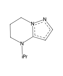 CC(C)N1CCCn2nccc21